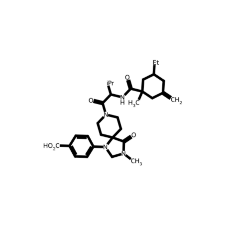 C=C1CC(CC)CC(C)(C(=O)NC(C(=O)N2CCC3(CC2)C(=O)N(C)CN3c2ccc(C(=O)O)cc2)C(C)C)C1